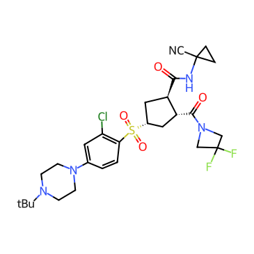 CC(C)(C)N1CCN(c2ccc(S(=O)(=O)[C@@H]3C[C@@H](C(=O)NC4(C#N)CC4)[C@H](C(=O)N4CC(F)(F)C4)C3)c(Cl)c2)CC1